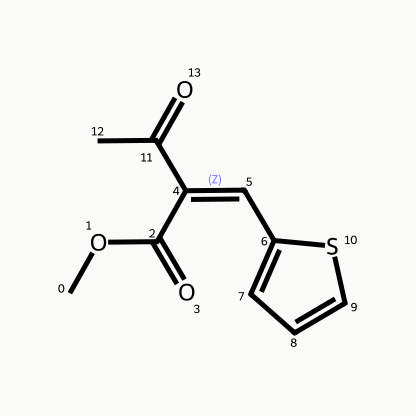 COC(=O)/C(=C\c1cccs1)C(C)=O